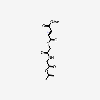 C=C(C)OC(=O)CNC(=O)COC(=O)/C=C/C(=O)OC